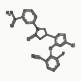 N#Cc1cccc(F)c1Oc1cc(Cl)ccc1C1CC(=O)N(c2cccc(C(N)=O)c2)C1